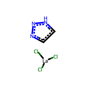 [Cl][La]([Cl])[Cl].c1c[nH]nn1